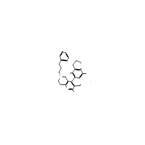 Cc1cccc(CCCN2CCc3nc(C)c(CC(=O)O)c(-c4cc(F)c5c(c4C)CCCO5)c3C2)c1